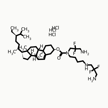 CC[C@H](CC[C@@H](C)[C@H]1CC[C@H]2[C@@H]3CC=C4C[C@@H](OC(=O)N(CCCCNCC(F)(F)CN)CC(F)(F)CN)CC[C@]4(C)[C@H]3CC[C@]12C)C(C)C.Cl.Cl.Cl